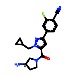 N#Cc1ccc(-c2cc(C(=O)N3CC[C@@H](N)C3)n(CC3CC3)n2)cc1F